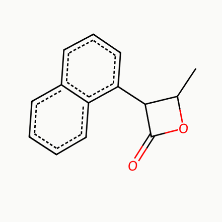 CC1OC(=O)C1c1cccc2ccccc12